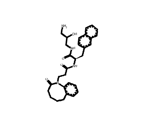 NCC(O)CNC(=O)[C@@H](Cc1ccc2ccccc2c1)NC(=O)CCN1C(=O)CCCCc2ccccc21